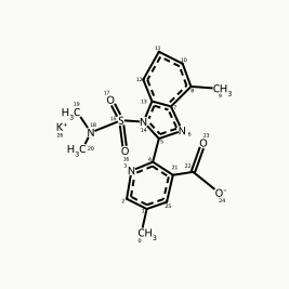 Cc1cnc(-c2nc3c(C)cccc3n2S(=O)(=O)N(C)C)c(C(=O)[O-])c1.[K+]